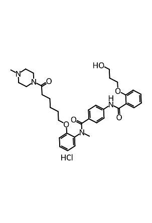 CN1CCN(C(=O)CCCCCOc2ccccc2N(C)C(=O)c2ccc(NC(=O)c3ccccc3OCCCO)cc2)CC1.Cl